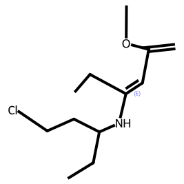 C=C(/C=C(\CC)NC(CC)CCCl)OC